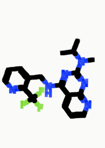 CC(C)N(C)c1nc(NCc2cccnc2C(F)(F)F)c2cccnc2n1